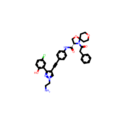 NCCn1cc(C#Cc2ccc(NC(=O)[C@@H]3COC4(CCOCC4)N3C(=O)Cc3ccccc3)cc2)c(-c2cc(Cl)ccc2O)n1